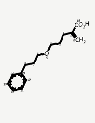 C=C(CCCOCCCc1ccccc1)C(=O)O